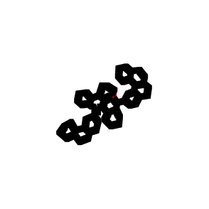 c1ccc(-c2ccccc2N(c2ccc3ccc4ccccc4c3c2)c2ccc(-c3ccc4ccc5ccc6ccccc6c5c4c3)c3ccccc23)cc1